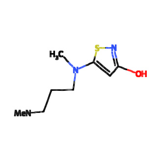 CNCCCN(C)c1cc(O)ns1